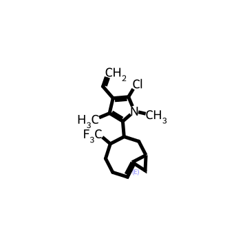 C=Cc1c(C)c(C2CC3C/C3=C\CCC2C(F)(F)F)n(C)c1Cl